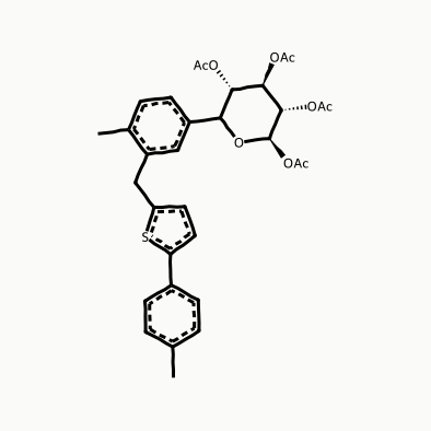 CC(=O)O[C@H]1OC(c2ccc(C)c(Cc3ccc(-c4ccc(C)cc4)s3)c2)[C@H](OC(C)=O)[C@@H](OC(C)=O)[C@@H]1OC(C)=O